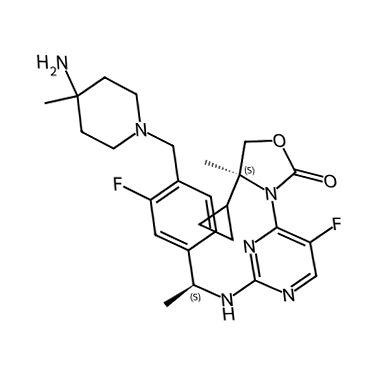 C[C@H](Nc1ncc(F)c(N2C(=O)OC[C@]2(C)C2CC2)n1)c1ccc(CN2CCC(C)(N)CC2)c(F)c1